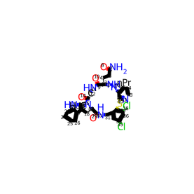 CCCN1N[C@@H](CCC(N)=O)C(=O)NCC(=O)N(C)[C@@H](Cc2c[nH]c3ccccc23)C(=O)NCc2cc(Cl)cc(Cl)c2Sc2ncccc21